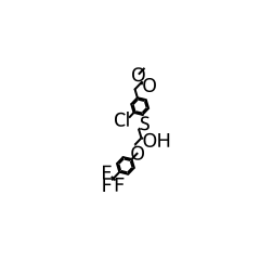 COC(=O)Cc1ccc(SCC(O)COc2ccc(C(F)(F)F)cc2)c(Cl)c1